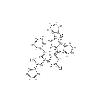 C/C(=N\C(=N/C(=N)c1ccccc1)c1cc(Cl)cc(-n2c3ccccc3c3c4oc5ccccc5c4ccc32)c1)c1ccccc1